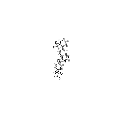 CC(C)S(=O)(=O)c1ccc(Nc2ncnc3cc(-c4ncccc4C(F)(F)F)ccc23)cn1